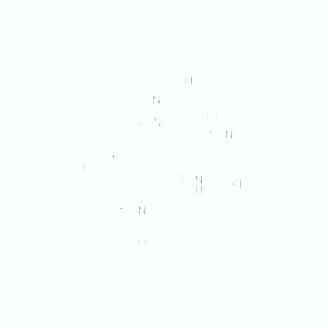 Cc1nn(C2CCN(C)CC2)cc1Nc1cc(NCCCN2CCCOC2=O)c(Cl)cn1